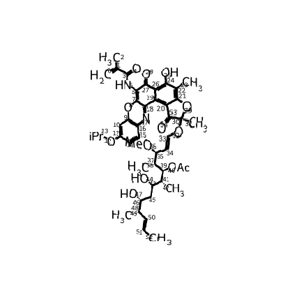 C=C(C)C(=O)Nc1c2oc3cc(OC(C)C)ccc3nc-2c2c3c(c(C)c(O)c2c1=O)O[C@](C)(O/C=C/[C@H](OC)[C@@H](C)[C@@H](OC(C)=O)[C@H](C)[C@H](O)C[C@@H](O)[C@@H](C)/C=C/C)C3=O